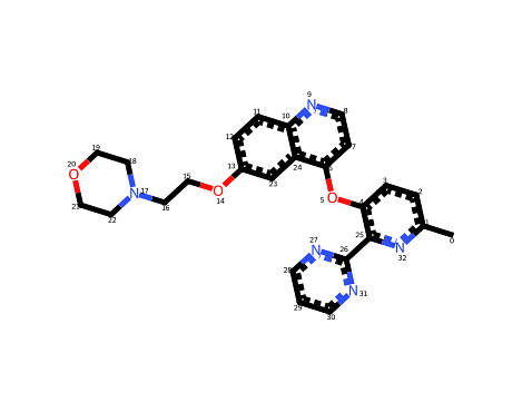 Cc1ccc(Oc2ccnc3ccc(OCCN4CCOCC4)cc23)c(-c2ncccn2)n1